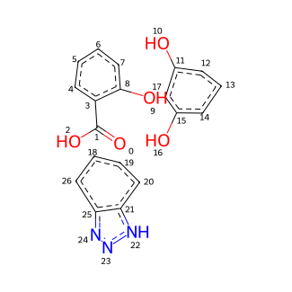 O=C(O)c1ccccc1O.Oc1cccc(O)c1.c1ccc2[nH]nnc2c1